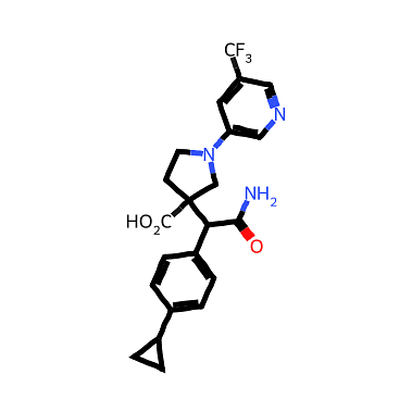 NC(=O)C(c1ccc(C2CC2)cc1)C1(C(=O)O)CCN(c2cncc(C(F)(F)F)c2)C1